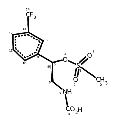 CS(=O)(=O)O[C@@H](CNC(=O)O)c1cccc(C(F)(F)F)c1